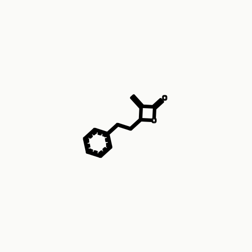 C=C1C(=O)OC1CCc1ccccc1